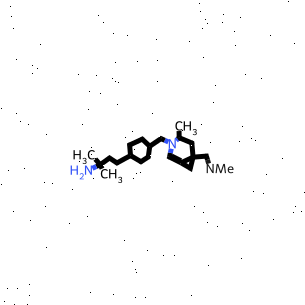 CNCC12CC1=CN(CC1CCC(CCC(C)(C)N)CC1)C(C)C2